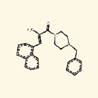 C/C(=C\c1cccc2ccccc12)C(=O)N1CCN(Cc2ccccc2)CC1